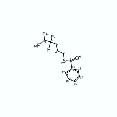 O=C(SCCCC(F)(F)C(F)F)c1ccccc1